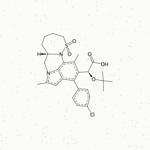 Cc1c([C@H](OC(C)(C)C)C(=O)O)c(-c2ccc(Cl)cc2)c2cc(C)n3c2c1N1[C@@H](CCCCS1(=O)=O)C3